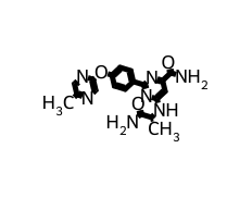 Cc1cnc(Oc2ccc(-c3nc(N[C@@H](C)C(N)=O)cc(C(N)=O)n3)cc2)cn1